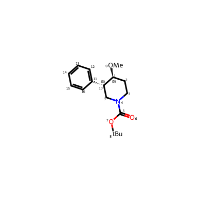 CO[C@H]1CCN(C(=O)OC(C)(C)C)C[C@@H]1c1ccccc1